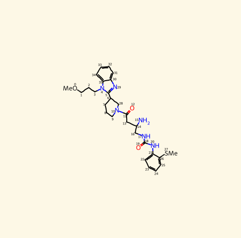 COCCCn1c(C2CCCN(C(=O)CC(N)CNC(=O)Nc3ccccc3SC)C2)nc2ccccc21